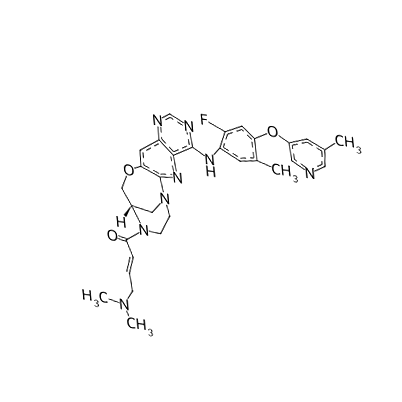 Cc1cncc(Oc2cc(F)c(Nc3ncnc4cc5c(nc34)N3CCN(C(=O)/C=C/CN(C)C)[C@H](CO5)C3)cc2C)c1